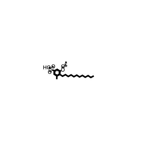 CCCCCCCCCCCCc1c(C)cc(S(=O)(=O)O)cc1OOSC